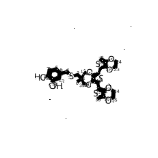 CC1(CSCc2ccc(O)c(O)c2)COc2c(-c3scc4c3OCCO4)sc(-c3scc4c3OCCO4)c2OC1